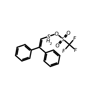 O=S(=O)(O[SH2]C=C(c1ccccc1)c1ccccc1)C(F)(F)F